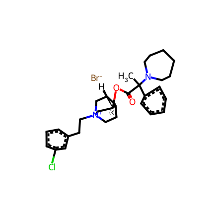 CC(C(=O)O[C@H]1C[N+]2(CCc3cccc(Cl)c3)CCC1CC2)(c1ccccc1)N1CCCCCC1.[Br-]